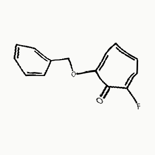 O=c1c(F)ccccc1OCc1ccccc1